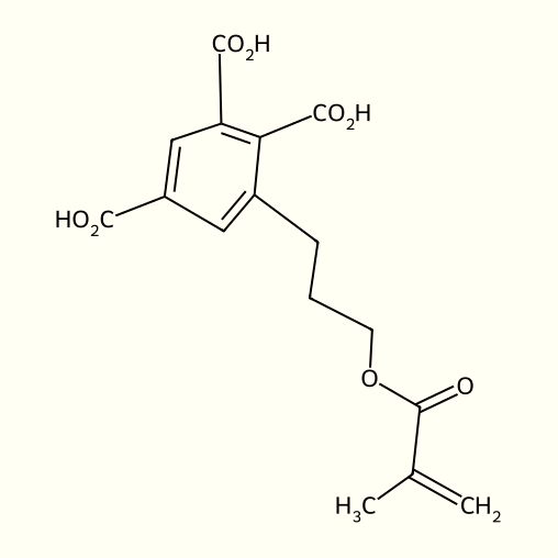 C=C(C)C(=O)OCCCc1cc(C(=O)O)cc(C(=O)O)c1C(=O)O